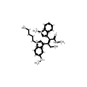 CNC(=O)/C(=C(\CO)c1cn(CCCCO)c2ccc(OC)cc12)c1cn(C)c2ccccc12